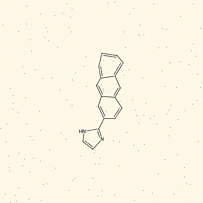 [c]1c(-c2ncc[nH]2)ccc2cc3ccccc3cc12